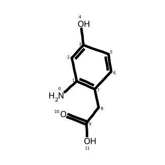 Nc1cc(O)ccc1CC(=O)O